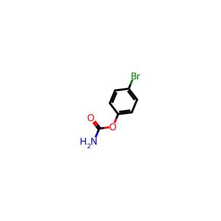 NC(=O)Oc1ccc(Br)cc1